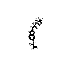 C=C(C)C(=O)Oc1ccc2c(c1)CC(CC(=O)NS(=O)(=O)C(F)(F)F)C2